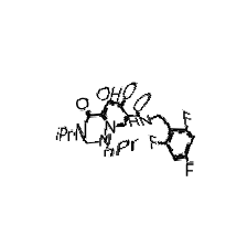 CCCN1CN(C(C)C)C(=O)c2c(O)c(=O)c(C(=O)NCc3c(F)cc(F)cc3F)cn21